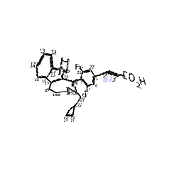 O=C(O)/C=C/c1cc(F)c(C2c3[nH]c4ccccc4c3CCN2CC2CC2)c(F)c1